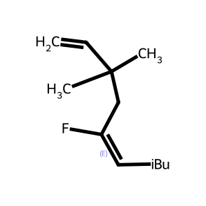 C=CC(C)(C)C/C(F)=C\C(C)CC